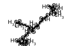 CC(=O)NC1C(OCCOCCNC(=O)CCCNC(=O)CCC(NC(=O)CCCCCCC(=O)C(C)C)C(=O)NCCOCCOC2OC(CO)C(O)C(O)C2NC(C)=O)OC(CO)C(O)C1O